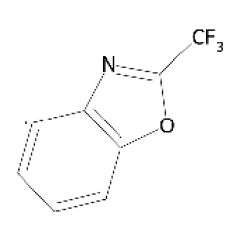 FC(F)(F)c1nc2[c]cccc2o1